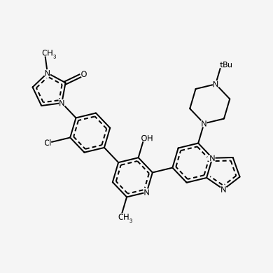 Cc1cc(-c2ccc(-n3ccn(C)c3=O)c(Cl)c2)c(O)c(-c2cc(N3CCN(C(C)(C)C)CC3)n3ccnc3c2)n1